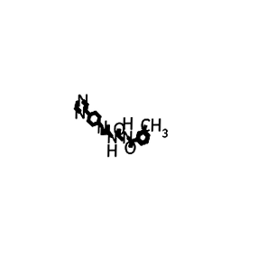 Cc1cccc(C(=O)NCC(=O)NC2CN(C3CCC(c4cnccn4)CC3)C2)c1